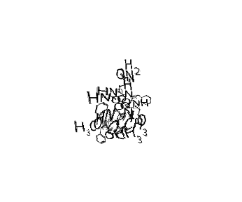 COc1ccc(NC(=O)N[C@@H](CCC(N)=O)C(=O)N[C@@H](CC2CCCCC2)C(=O)N[C@@H](CC=O)C(=O)N(I)[C@@H](CC(C)C)C(=O)N[C@H](Cc2ccccc2)C(=O)O)cc1